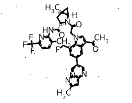 CC(=O)c1cn(CC(=O)N2[C@H](C(=O)Nc3nc(C(F)(F)F)ccc3C)C[C@@]3(C)C[C@@H]23)c2c(CF)cc(-c3cnc4cc(C)nn4c3)cc12